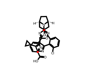 O=C(O)c1cccc(-c2nc(N3[C@@H]4CC[C@H]3CC(OCc3c(-c5c(Cl)cccc5Cl)noc3C3CC3)C4)no2)n1